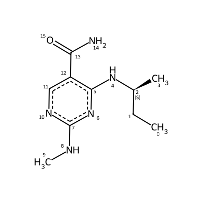 CC[C@H](C)Nc1nc(NC)ncc1C(N)=O